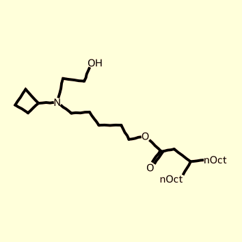 CCCCCCCCC(CCCCCCCC)CC(=O)OCCCCCN(CCO)C1CCC1